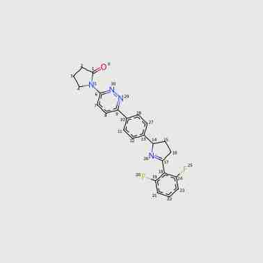 O=C1CCCN1c1ccc(-c2ccc(C3CCC(c4c(F)cccc4F)=N3)cc2)nn1